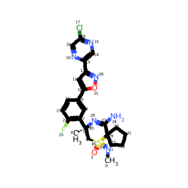 CN=[S@@]1(=O)C[C@@](C)(c2cc(-c3cc(-c4cnc(Cl)cn4)no3)ccc2F)N=C(N)C12CCCC2